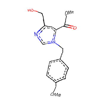 COC(=O)c1c(CO)ncn1Cc1ccc(OC)cc1